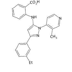 CCc1cccc(-c2cc(Nc3ccccc3C(=O)O)n(-c3ccncc3C)n2)c1